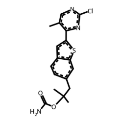 Cc1cnc(Cl)nc1-c1cc2ccc(CC(C)(C)OC(N)=O)cc2s1